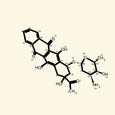 CC(=O)C1(O)Cc2c(O)c3c(c(O)c2[C@@H](O[C@H]2C[C@H](N)[C@H](O)[C@H](C)O2)C1)C(=O)c1ccccc1C3=O